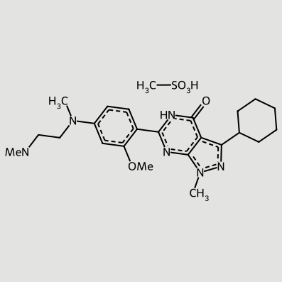 CNCCN(C)c1ccc(-c2nc3c(c(C4CCCCC4)nn3C)c(=O)[nH]2)c(OC)c1.CS(=O)(=O)O